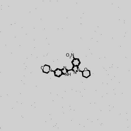 O=[N+]([O-])c1ccc2c(c1)c(-c1nc3cc(N4CCOCC4)ccc3[nH]1)nn2C1CCCCO1